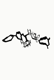 Cc1cc(C)cc(OP(=O)(O)CNC(Cc2ccc(-c3ccccc3)cc2)c2nnn[nH]2)c1